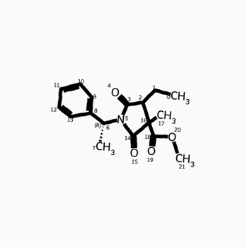 CCC1C(=O)N([C@H](C)c2ccccc2)C(=O)C1(C)C(=O)OC